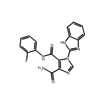 NC(=O)c1ncn(-c2nc3ccccc3[nH]2)c1C(=O)Nc1ccccc1F